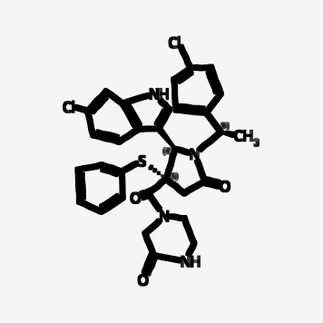 C[C@H](c1ccc(Cl)cc1)N1C(=O)C[C@@](Sc2ccccc2)(C(=O)N2CCNC(=O)C2)[C@H]1c1c[nH]c2cc(Cl)ccc12